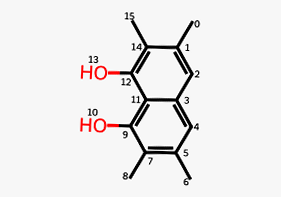 Cc1cc2cc(C)c(C)c(O)c2c(O)c1C